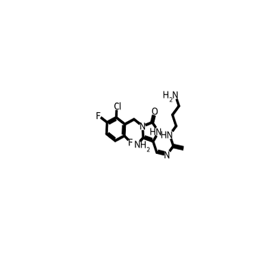 C=C(/N=C\c1[nH]c(=O)n(Cc2c(F)ccc(F)c2Cl)c1N)NCCCN